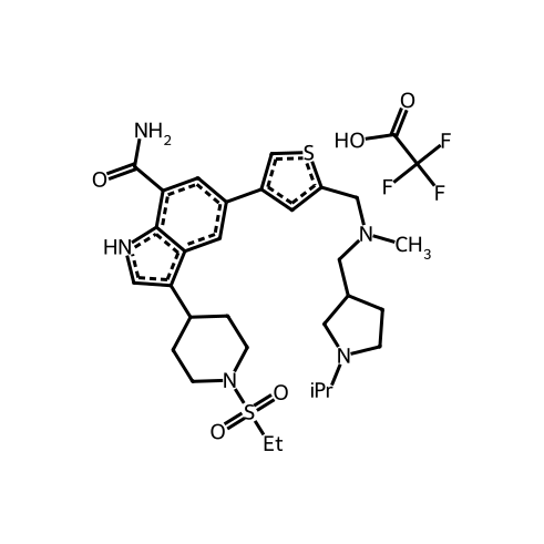 CCS(=O)(=O)N1CCC(c2c[nH]c3c(C(N)=O)cc(-c4csc(CN(C)CC5CCN(C(C)C)C5)c4)cc23)CC1.O=C(O)C(F)(F)F